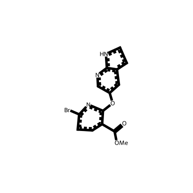 COC(=O)c1ccc(Br)nc1Oc1cnc2[nH]ccc2c1